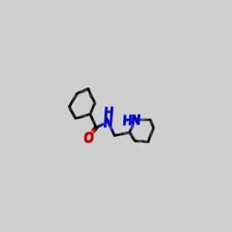 O=C(NCC1CCCCN1)C1CCCCC1